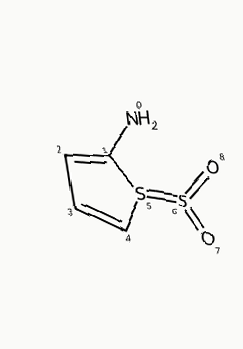 NC1=CC=CS1=S(=O)=O